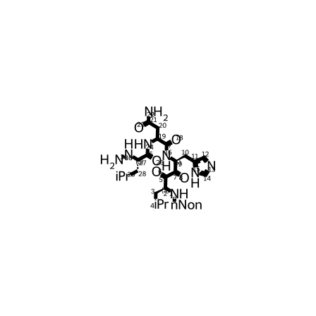 CCCCCCCCCN[C@@H](CC(C)C)C(=O)C(=O)[C@H](Cc1cnc[nH]1)NC(=O)C(CC(N)=O)NC(=O)[C@H](CC(C)C)NN